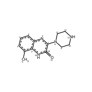 Cc1cccc2nc(N3CCNCC3)c(=O)[nH]c12